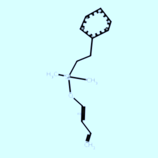 C=C/C=C/O[Si](C)(C)CCc1ccccc1